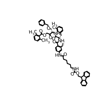 Cc1cccc(C[C@H](NC(=O)c2ccc(NC(=O)CCCCCNC(=O)OCC3c4ccccc4-c4ccccc43)cc2F)C(=O)N[C@@H](COCc2ccccc2)C(=O)COC(=O)c2c(C)cccc2C)c1